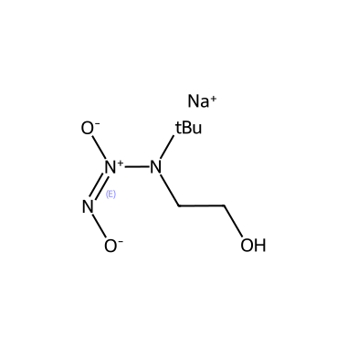 CC(C)(C)N(CCO)/[N+]([O-])=N\[O-].[Na+]